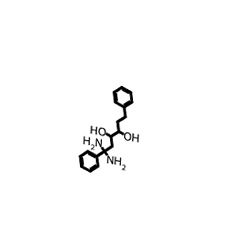 NC(N)(CC(O)C(O)CCc1ccccc1)c1ccccc1